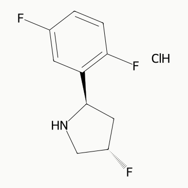 Cl.Fc1ccc(F)c([C@H]2C[C@H](F)CN2)c1